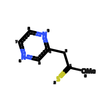 COC(=S)Cc1cnccn1